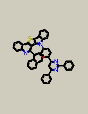 c1ccc(-c2cc(-c3ccc(-n4c5ccccc5c5sc6c7ccccc7nc(-c7cccc8ccccc78)c6c54)cc3)nc(-c3ccccc3)n2)cc1